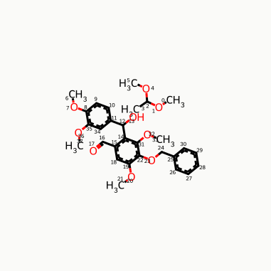 COC(C)OC.COc1ccc(C(O)c2c(C=O)cc(OC)c(OCc3ccccc3)c2OC)cc1OC